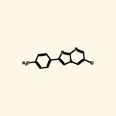 Cc1ccc(-c2cn3cc(Cl)cnc3n2)cc1